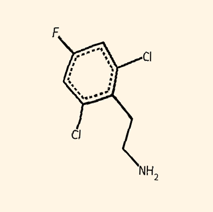 NCCc1c(Cl)cc(F)cc1Cl